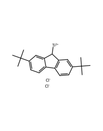 CC(C)(C)c1ccc2c(c1)[CH]([Ti+2])c1cc(C(C)(C)C)ccc1-2.[Cl-].[Cl-]